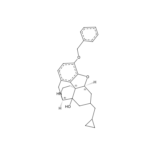 OC12CC(CC3CC3)C[C@@H]3Oc4c(OCc5ccccc5)ccc5c4[C@@]31CCN[C@@H]2C5